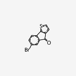 O=C1c2cc(Br)ccc2-c2sccc21